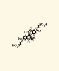 CCN(CCCS(=O)(=O)O)c1ccc(-c2c(O)[c+](-c3ccc(N(CC)CCCS(=O)(=O)O)cc3O)[c+]2O)c(O)c1.[OH-].[OH-]